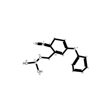 [N-]=[N+]=C1CC=C(Sc2ccccc2)C=C1COP(O)O